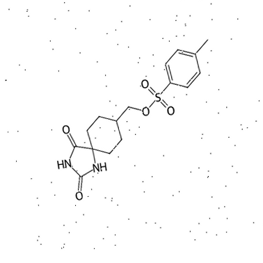 Cc1ccc(S(=O)(=O)OCC2CCC3(CC2)NC(=O)NC3=O)cc1